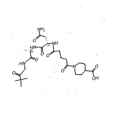 C[C@H](NC(=O)[C@H](CC(N)=O)NC(=O)CCCC(=O)N1CCC(C(=O)O)CC1)C(=O)NCC(=O)C(C)(C)C